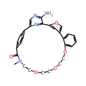 CN1CCOCCOCCOc2ccccc2-c2coc(c2)-c2nc(cnc2N)-c2ccc(cc2)C1=O